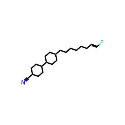 N#CC1CCC(C2CCC(CCCCCCC=CF)CC2)CC1